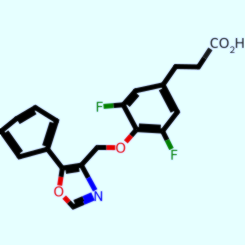 O=C(O)CCc1cc(F)c(OCc2ncoc2-c2ccccc2)c(F)c1